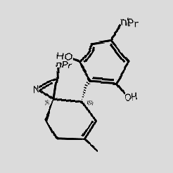 CCCC1=N[C@]12CCC(C)=C[C@H]2c1c(O)cc(CCC)cc1O